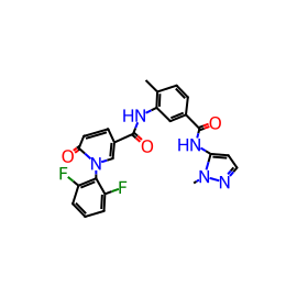 Cc1ccc(C(=O)Nc2ccnn2C)cc1NC(=O)c1ccc(=O)n(-c2c(F)cccc2F)c1